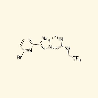 FC(F)(F)COc1cn2cc(-c3cccc(Br)n3)nc2cn1